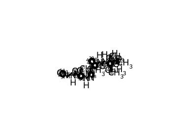 COc1cc(Nc2nccc(Oc3ccc(NC(=O)Nc4cc(C(C)(C)C)cc(NS(C)(=O)=O)c4OC)c4ccccc34)n2)ccc1C(=O)NCCN1CCOCC1